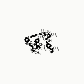 Cc1ccsc1-c1ccc(CNC(=O)[C@@H]2C[C@@H](C)CN2C(=O)[C@@H](NC(=O)COCCCCOc2cccc(NC(=O)CC3N=C(c4ccc(Cl)cc4)c4c(sc(C)c4C)-n4c(C)nnc43)c2)C(C)(C)C)cc1